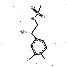 CS(=O)(=O)NC[C@@H](N)c1ccc(F)c(Cl)c1